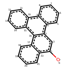 [O]c1cc2c3ccccc3c3ccccc3c2c2ccccc12